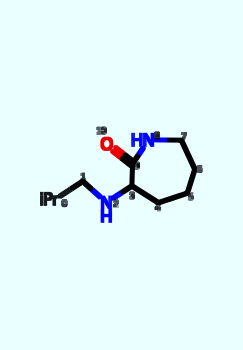 CC(C)CNC1CCCCNC1=O